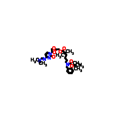 CN(C)C=Nc1ccn(C2COC(COC(=O)C(C)(C)CCCCN(Cc3ccccc3)C(=O)OC(C)(C)C)O2)c(=O)n1